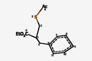 CCOC(=O)C(CSC(C)=O)Cc1ccccc1